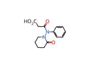 O=C(O)CC(=O)N(c1ccccc1)N1CCCCC1=O